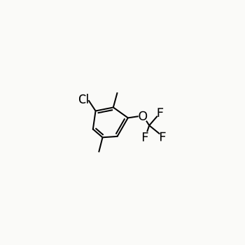 Cc1cc(Cl)c(C)c(OC(F)(F)F)c1